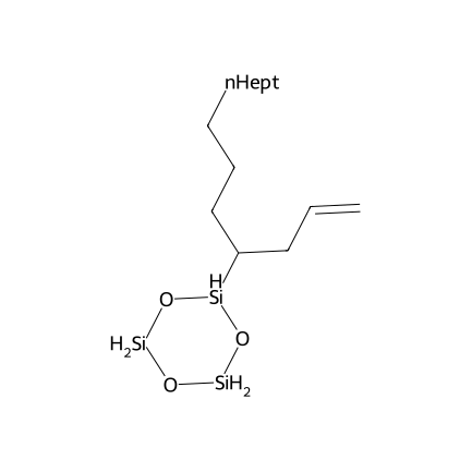 C=CCC(CCCCCCCCCC)[SiH]1O[SiH2]O[SiH2]O1